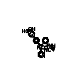 N#CC1(NC(=O)[C@@H]2CCCC[C@H]2c2oc(-c3cccnn3)nc2-c2ccc(N3CCS(O)(O)CC3)cc2)CC1